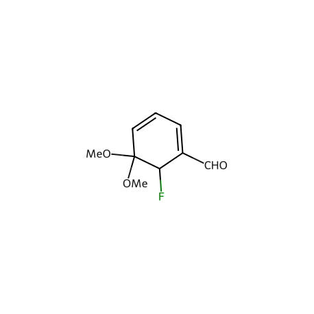 COC1(OC)C=CC=C(C=O)C1F